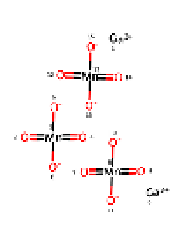 [Ga+3].[Ga+3].[O]=[Mn](=[O])([O-])[O-].[O]=[Mn](=[O])([O-])[O-].[O]=[Mn](=[O])([O-])[O-]